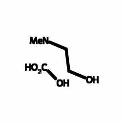 CNCCO.O=C(O)O